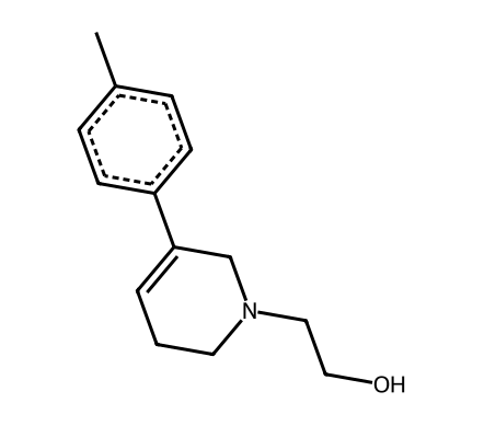 Cc1ccc(C2=CCCN(CCO)C2)cc1